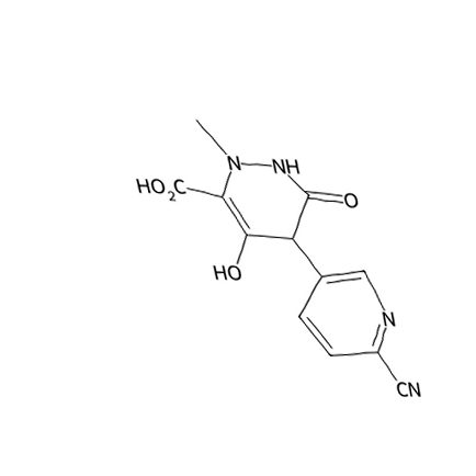 CN1NC(=O)C(c2ccc(C#N)nc2)C(O)=C1C(=O)O